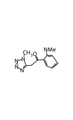 CNc1ccccc1C(=O)Cc1nnnn1C